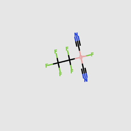 N#C[B-](F)(C#N)C(F)(F)C(F)(F)F